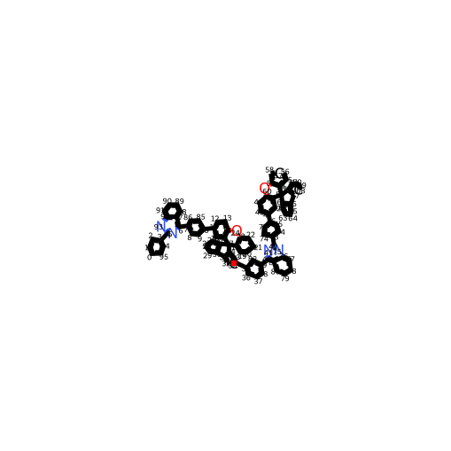 c1ccc(-c2nc(-c3ccc(-c4ccc5c(c4)C4(c6ccccc6O5)c5ccccc5-c5ccc(-c6cccc(-c7nc(-c8ccc(-c9ccc%10c(c9)C9(c%11ccccc%11O%10)c%10ccccc%10-c%10ccccc%109)cc8)nc8ccccc78)c6)cc54)cc3)c3ccccc3n2)cc1